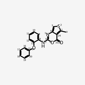 Cc1scc2nc(Nc3ccccc3Oc3ccccc3)oc(=O)c12